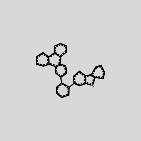 c1ccc(-c2ccc3c4ccccc4c4ccccc4c3c2)c(-c2ccc3c(c2)sc2ccccc23)c1